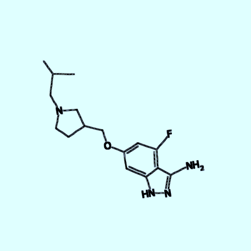 CC(C)CN1CCC(COc2cc(F)c3c(N)n[nH]c3c2)C1